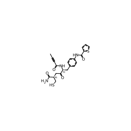 CC#CC(=O)N[C@@H](Cc1ccc(NC(=O)c2cccs2)cc1)C(=O)C[C@@H](CS)C(N)=O